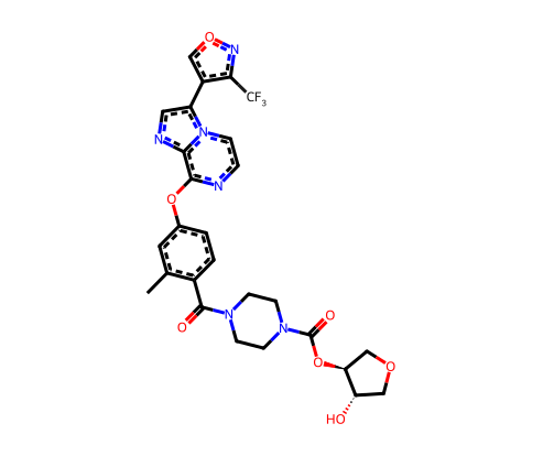 Cc1cc(Oc2nccn3c(-c4conc4C(F)(F)F)cnc23)ccc1C(=O)N1CCN(C(=O)O[C@H]2COC[C@@H]2O)CC1